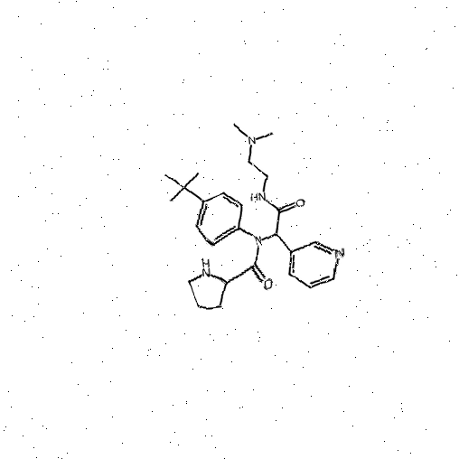 CN(C)CCNC(=O)C(c1cccnc1)N(C(=O)C1CCCN1)c1ccc(C(C)(C)C)cc1